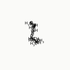 COC[C@H]1CN[C@H](C)CN1CC(=O)N1CC(C)(C)c2nc(CN3CCN(CCOCCOCCOCC(=O)Nc4ccc(Nc5ncc(C(F)(F)F)c(NCc6cccc(S(C)(=O)=O)c6)n5)cc4)CC3)c(Cc3ccc(F)cc3)cc21